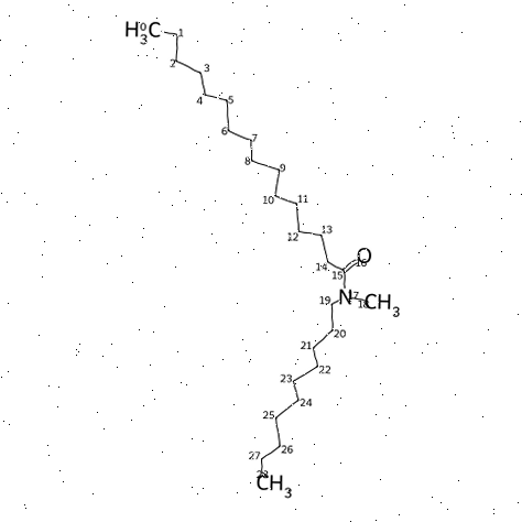 CCCCCCCCCCCCCCCC(=O)N(C)CCCCCCCCCC